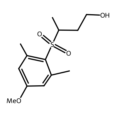 COc1cc(C)c(S(=O)(=O)C(C)CCO)c(C)c1